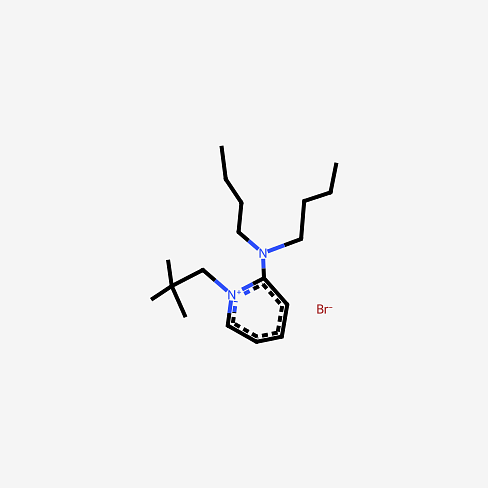 CCCCN(CCCC)c1cccc[n+]1CC(C)(C)C.[Br-]